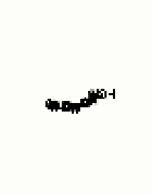 Cn1c(CO)nnc1[C@H]1CC[C@H](c2cnn([C@H]3CC[C@H](N4CC5(CCOC5)C4)CC3)c2)CC1